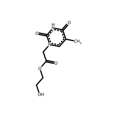 Cc1cn(CC(=O)OCCO)c(=O)[nH]c1=O